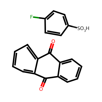 O=C1c2ccccc2C(=O)c2ccccc21.O=S(=O)(O)c1ccc(F)cc1